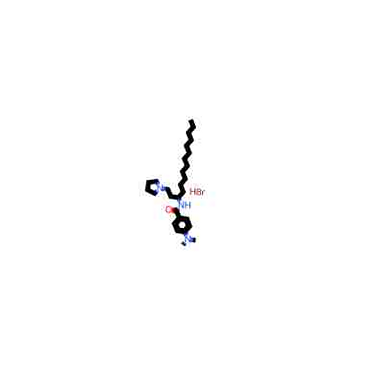 Br.CCCCCCCCCCCCC(CCN1CCCC1)NC(=O)c1ccc(N(C)C)cc1